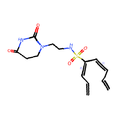 C=C/C=C\C(=C/C=C)S(=O)(=O)NCCN1CCC(=O)NC1=O